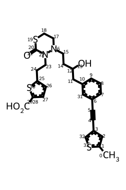 Cc1cc(C#Cc2cccc(CC(O)CCN3CCSC(=O)N3CCc3ccc(C(=O)O)s3)c2)cs1